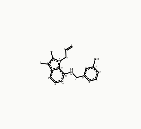 C=CCn1c(C)c(C)c2ccnc(NCc3cccc(F)c3)c21